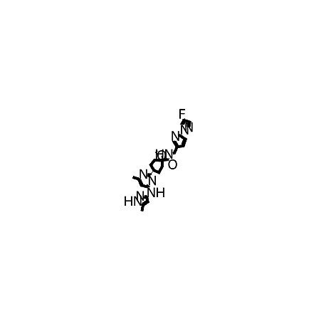 CO[C@]1(C(=O)NCc2ccc(-n3cc(F)cn3)nc2)CC[C@H](c2nc(C)cc(Nc3cc(C)[nH]n3)n2)CC1